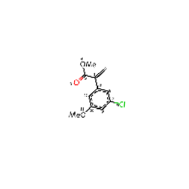 C=C(C(=O)OC)c1cc(Cl)cc(OC)c1